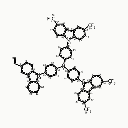 C=Cc1ccc2c(c1)c1ccccc1n2-c1ccc(N(c2ccc(-n3c4ccc(C(F)(F)F)cc4c4cc(C(F)(F)F)ccc43)cc2)c2ccc(-n3c4ccc(C(F)(F)F)cc4c4cc(C(F)(F)F)ccc43)cc2)cc1